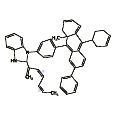 C=C(/C=C\C=C/C)C1Nc2ccccc2N1c1ccc(C2=c3cc(-c4ccccc4)ccc3=C(C3CC=CCC3)C3=CC=CCC32C)cc1